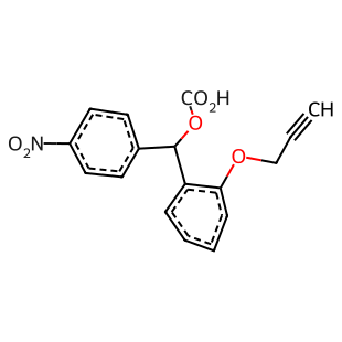 C#CCOc1ccccc1C(OC(=O)O)c1ccc([N+](=O)[O-])cc1